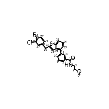 COCCNC(=O)c1cccc(-c2cccc3sc(Cc4ccc(F)c(Cl)c4)cc23)c1